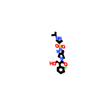 CC(C)n1cc(S(=O)(=O)n2cc3c(n2)CN(C(=O)[C@H](CO)c2ccccc2F)C3)cn1